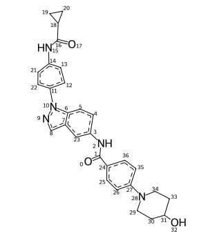 O=C(Nc1ccc2c(cnn2-c2ccc(NC(=O)C3CC3)cc2)c1)c1ccc(N2CCC(O)CC2)cc1